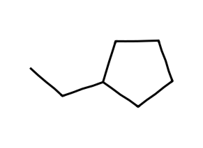 CCC1CCCC1